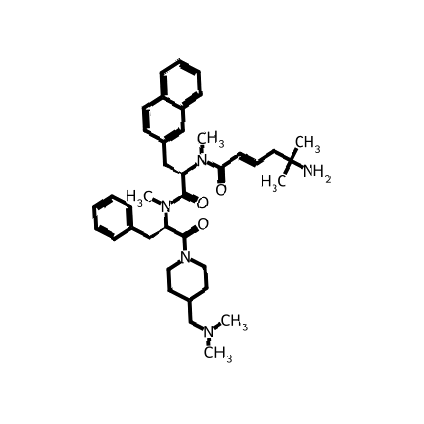 CN(C)CC1CCN(C(=O)[C@@H](Cc2ccccc2)N(C)C(=O)[C@@H](Cc2ccc3ccccc3c2)N(C)C(=O)C=CCC(C)(C)N)CC1